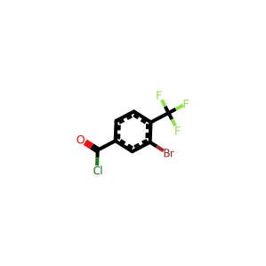 O=C(Cl)c1ccc(C(F)(F)F)c(Br)c1